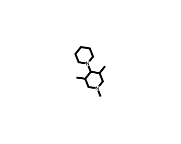 CC1CN(C)CC(C)C1N1CCCCC1